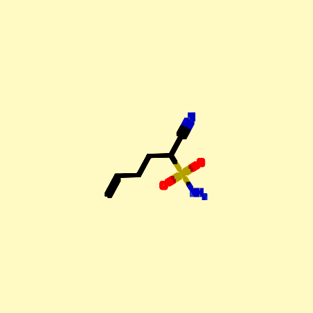 C=CCCC(C#N)S(N)(=O)=O